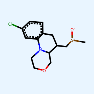 C[S+]([O-])CC1Cc2ccc(Cl)cc2N2CCOCC12